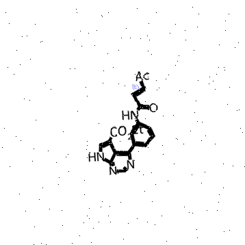 CCOC(=O)c1c[nH]c2ncnc(-c3cccc(NC(=O)/C=C/C(C)=O)c3)c12